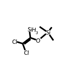 C[Si](C)(C)OC([SiH3])=C(Cl)Cl